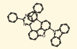 c1ccc(-c2nc(-c3ccccc3)nc(-c3cccc4oc5c(-n6c7ccccc7c7ccccc76)ccc(-c6ccccc6)c5c34)n2)cc1